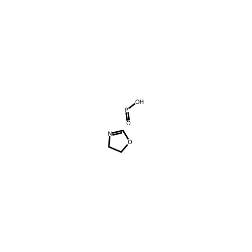 C1=NCCO1.O=PO